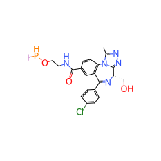 Cc1nnc2n1-c1ccc(C(=O)NCCOPI)cc1C(c1ccc(Cl)cc1)=N[C@H]2CO